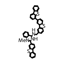 CNC(NC(NCc1ccc2c(c1)C1C=C(c3cccc4c3sc3ccccc34)C=CC1S2)c1ccccc1)c1ccc2c(c1)sc1ccccc12